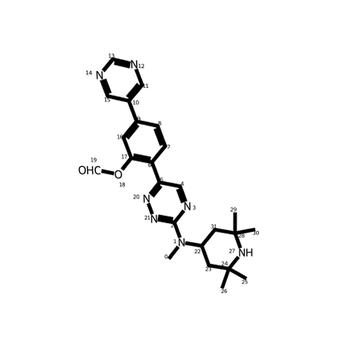 CN(c1ncc(-c2ccc(-c3cncnc3)cc2OC=O)nn1)C1CC(C)(C)NC(C)(C)C1